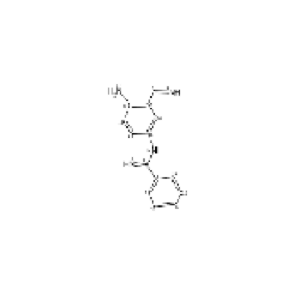 N=Cc1cc(NC(=N)c2ccccc2)ccc1N